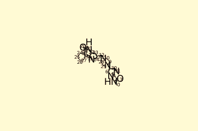 CNC(=O)c1ncc(N2CCN(Cc3cnc4c5c(c(=O)[nH]c4c3)CCCC5)CC2)cn1